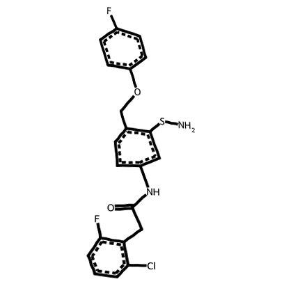 NSc1cc(NC(=O)Cc2c(F)cccc2Cl)ccc1COc1ccc(F)cc1